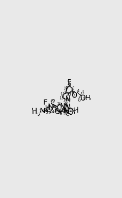 CC(C)(O)COc1cc(F)cc2ccc(-c3nnc4ccc([C@@H](N5CC[C@H](N)C5)C(F)(F)F)cn34)nc12.O=CO